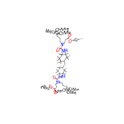 CCCCOC(=O)CCN(CCC[Si](OC)(OC)OC)C(=O)NC1(C)C(C)(C)C(C)(C)C(CC2C(C)(C)C(C)(C)C(C)(NC(=O)N(CCC[Si](OC)(OC)OC)CCC(=O)OC3C4C(C)C34)C(C)(C)C2(C)C)C(C)(C)C1(C)C